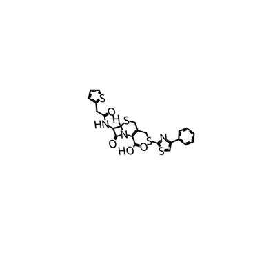 O=C(Cc1cccs1)NC1C(=O)N2C(C(=O)O)=C(CSc3nc(-c4ccccc4)cs3)CS[C@@H]12